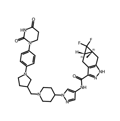 C[C@@]12Cc3[nH]nc(C(=O)Nc4cnn(C5CCN(CC6CCN(c7ccc(N8CCC(=O)NC8=O)cc7)C6)CC5)c4)c3C[C@@H]1C2(F)F